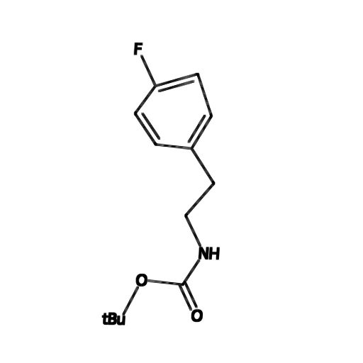 CC(C)(C)OC(=O)NCCc1ccc(F)cc1